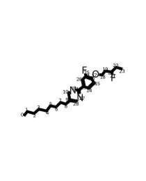 CCCCCCCCCc1cnc(-c2ccc(OCCC(F)CC)c(F)c2)nc1